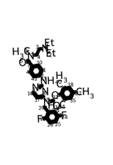 CCN(CC)CCN(C)C(=O)c1ccc(Nc2nccc(N(Cc3cc(F)ccc3F)C(=O)Oc3c(C)cc(C)cc3C)n2)cc1